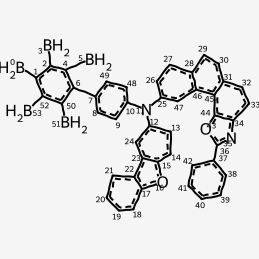 Bc1c(B)c(B)c(-c2ccc(N(c3ccc4oc5ccccc5c4c3)c3ccc4ccc5ccc6nc(-c7ccccc7)oc6c5c4c3)cc2)c(B)c1B